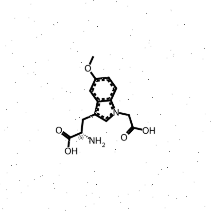 COc1ccc2c(c1)c(C[C@H](N)C(=O)O)cn2CC(=O)O